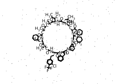 CC[C@H](C)[C@@H]1NC(=O)[C@H](CC(C)C)N(C)C(=O)C[C@@H](C(=O)N2CCCCC2)N(C)C(=O)[C@H](C2CCCCC2)N(C)C(=O)C2(CCCC2)NC(=O)[C@@H]2Cc3ccccc3N2C(=O)[C@H](CCc2ccc(C(F)(F)F)c(Cl)c2)NC(=O)CN(C)C(=O)[C@H](CC2CCCCC2)N(C)C(=O)CN(C)C(=O)CN(C)C1=O